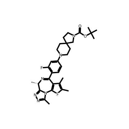 Cc1sc2c(c1C)C(c1ccc(N3CCC4(CCN(C(=O)OC(C)(C)C)C4)CC3)cc1F)=N[C@@H](C)c1nnc(C)n1-2